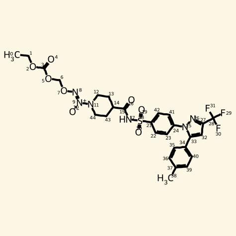 CCOC(=O)OCON=[N+]([O-])N1CCC(C(=O)NS(=O)(=O)c2ccc(-n3nc(C(F)(F)F)cc3-c3ccc(C)cc3)cc2)CC1